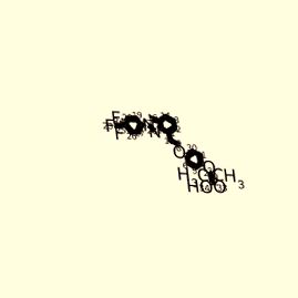 CC(C)(Oc1ccc(OCCc2cccc3cn(-c4ccc(C(F)(F)F)cc4)nc23)cc1)C(=O)O